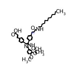 CCCCCCCCCCCCNC(=O)/C=C/c1ccc(-c2[nH]c(-c3ccc(OC)c(OC)c3OC)nc2-c2ccc(C=CC(=O)O)cc2)cc1